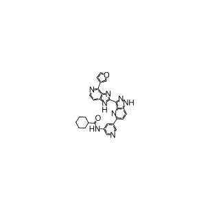 O=C(Nc1cncc(-c2ccc3[nH]nc(-c4nc5c(-c6ccoc6)nccc5[nH]4)c3n2)c1)C1CCCCC1